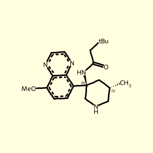 COc1ccc([C@@]2(NC(=O)CC(C)(C)C)CNC[C@@H](C)C2)c2nccnc12